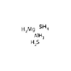 S.[AlH3].[MgH2].[SiH4]